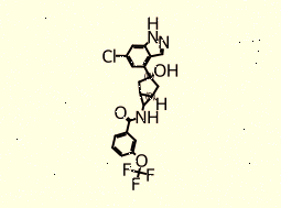 O=C(NC1C2C[C@](O)(c3cc(Cl)cc4[nH]ncc34)C[C@H]21)c1cccc(OC(F)(F)F)c1